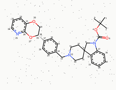 CC(C)(C)OC(=O)N1CC2(CCN(Cc3ccc([C@H]4COc5cccnc5O4)cc3)CC2)c2ccccc21